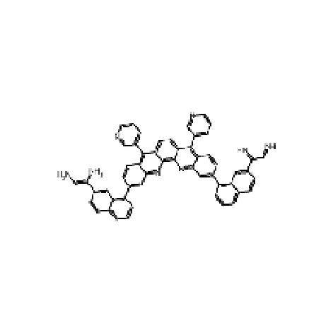 N=CC(=N)c1ccc2cccc(-c3ccc4c(-c5cccnc5)c5ccc6c(-c7cccnc7)c7ccc(-c8cccc9ccc(/C(N)=C/N)cc89)cc7nc6c5nc4c3)c2c1